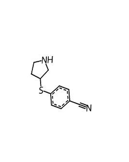 N#Cc1ccc(SC2CCNC2)cc1